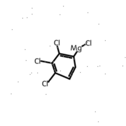 [Cl][Mg][c]1ccc(Cl)c(Cl)c1Cl